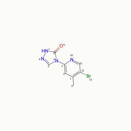 Cc1cc(-n2cn[nH]c2=O)ncc1Br